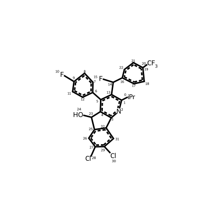 CC(C)c1nc2c(c(-c3ccc(F)cc3)c1C(F)c1ccc(C(F)(F)F)cc1)C(O)c1cc(Cl)c(Cl)cc1-2